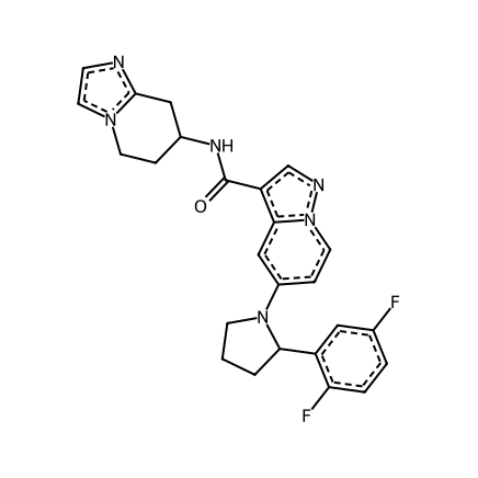 O=C(NC1CCn2ccnc2C1)c1cnn2ccc(N3CCCC3c3cc(F)ccc3F)cc12